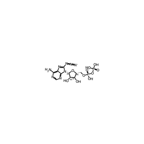 [N-]=[N+]=Nc1nc2c(N)ncnc2n1[C@@H]1O[C@H](COP(=O)(O)OP(=O)(O)O)[C@@H](O)[C@H]1O